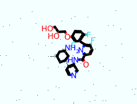 C[C@@H]1C[C@H](N)C[C@H](c2ccncc2NC(=O)c2ccc(F)c(-c3c(F)ccc(OCC(O)CO)c3F)n2)C1